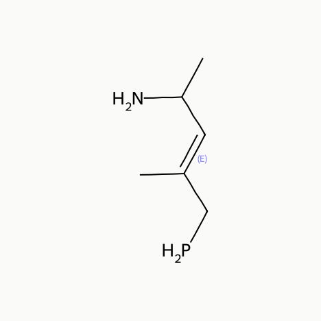 C/C(=C\C(C)N)CP